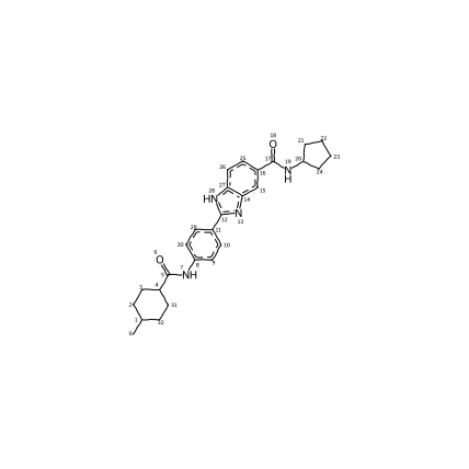 CC1CCC(C(=O)Nc2ccc(-c3nc4cc(C(=O)NC5CCCC5)ccc4[nH]3)cc2)CC1